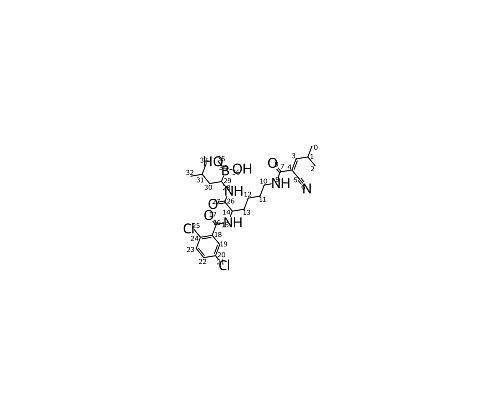 CC(C)C=C(C#N)C(=O)NCCCCC(NC(=O)c1cc(Cl)ccc1Cl)C(=O)NC(CC(C)C)B(O)O